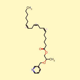 CCCCC/C=C\C/C=C\C/C=C\CCCCC(=O)OCC(C)OCc1cccnc1